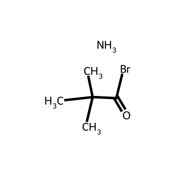 CC(C)(C)C(=O)Br.N